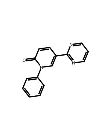 O=c1ccc(-c2ncccn2)cn1-c1ccccc1